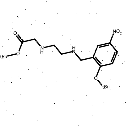 CC(C)(C)OC(=O)CNCCNCc1cc([N+](=O)[O-])ccc1OC(C)(C)C